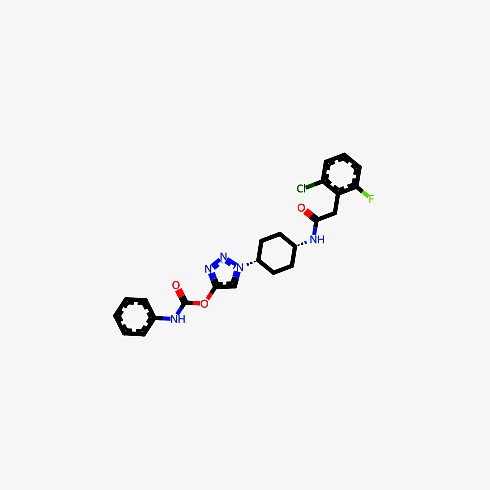 O=C(Cc1c(F)cccc1Cl)N[C@H]1CC[C@@H](n2cc(OC(=O)Nc3ccccc3)nn2)CC1